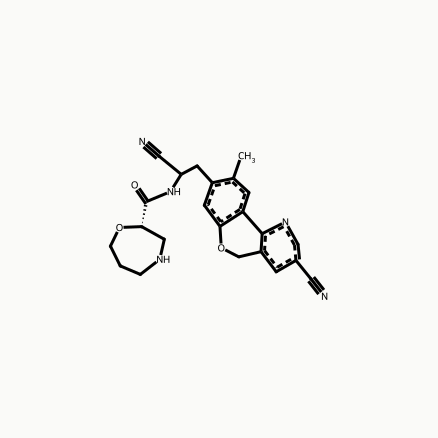 Cc1cc2c(cc1CC(C#N)NC(=O)[C@@H]1CNCCCO1)OCc1cc(C#N)cnc1-2